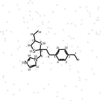 CCc1ccc(CCC2(Cn3ccnc3)SCC(CC)S2)cc1